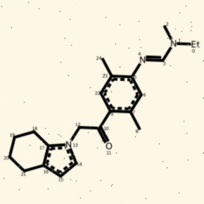 CCN(C)C=Nc1cc(C)c(C(=O)Cn2ccc3c2CCCC3)cc1C